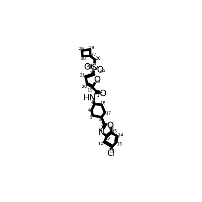 O=C(NC1CCC(c2nc3cc(Cl)ccc3o2)CC1)c1ccc(S(=O)(=O)CC2CCC2)o1